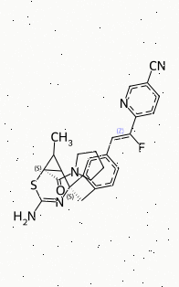 CC1C2[C@@]1(C(=O)N1CCCC1)SC(N)=N[C@@]21Cc2ccc(/C=C(\F)c3ccc(C#N)cn3)cc21